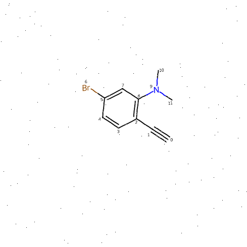 C#Cc1ccc(Br)cc1N(C)C